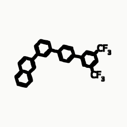 FC(F)(F)c1cc(-c2ccc(-c3cccc(-c4ccc5ccccc5c4)c3)cc2)cc(C(F)(F)F)c1